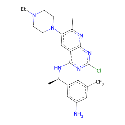 CCN1CCN(c2cc3c(N[C@H](C)c4cc(N)cc(C(F)(F)F)c4)nc(Cl)nc3nc2C)CC1